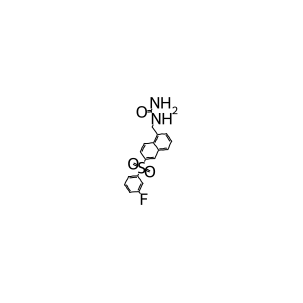 NC(=O)NCc1cccc2cc(S(=O)(=O)c3cccc(F)c3)ccc12